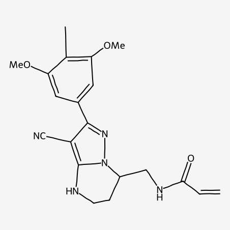 C=CC(=O)NCC1CCNc2c(C#N)c(-c3cc(OC)c(C)c(OC)c3)nn21